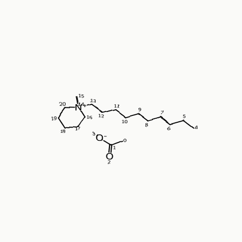 CC(=O)[O-].CCCCCCCCCC[N+]1(C)CCCCC1